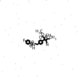 CCOC(=O)c1c(-c2ccc(CCNS(=O)(=O)c3ccc(F)cc3)cc2)c(C#N)c(CC)n1C